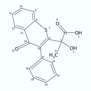 CC(O)(C(=O)O)c1sc2ccccc2c(=O)c1-c1ccccc1